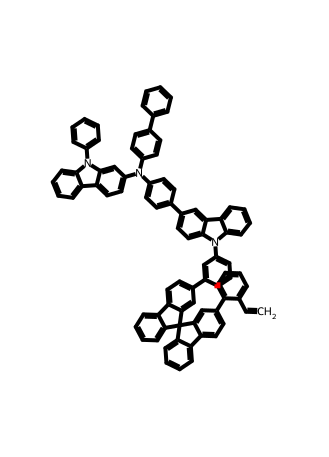 C=Cc1ccccc1-c1ccc2c(c1)C1(c3ccccc3-c3ccc(-c4cccc(-n5c6ccccc6c6cc(-c7ccc(N(c8ccc(-c9ccccc9)cc8)c8ccc9c%10ccccc%10n(-c%10ccccc%10)c9c8)cc7)ccc65)c4)cc31)c1ccccc1-2